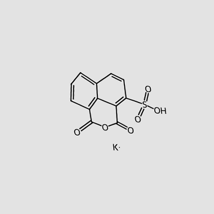 O=C1OC(=O)c2c(S(=O)(=O)O)ccc3cccc1c23.[K]